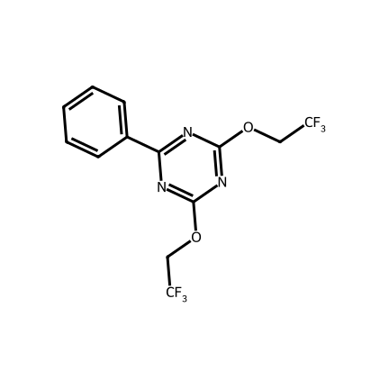 FC(F)(F)COc1nc(OCC(F)(F)F)nc(-c2ccccc2)n1